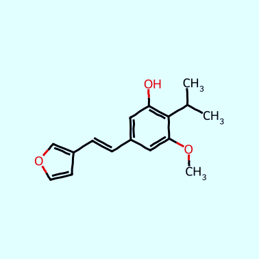 COc1cc(C=Cc2ccoc2)cc(O)c1C(C)C